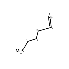 CSCCCC=N